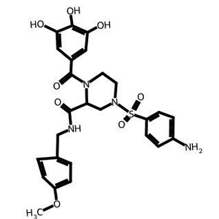 COc1ccc(CNC(=O)C2CN(S(=O)(=O)c3ccc(N)cc3)CCN2C(=O)c2cc(O)c(O)c(O)c2)cc1